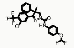 CC1(c2ccccc2)CN(C(=O)Nc2ccc(OC(F)F)cc2)N=C1c1ccc(C(F)(F)F)c(Cl)c1